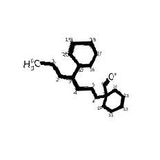 CCCC(CCCC1(C=O)CCCCC1)C1CCCCC1